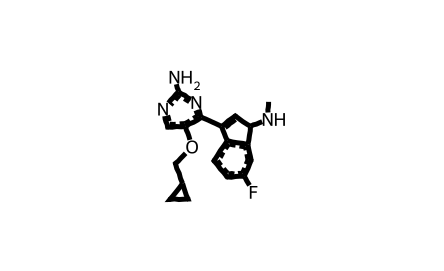 CNC1C=C(c2nc(N)ncc2OCC2CC2)c2ccc(F)cc21